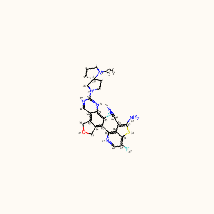 CN1CCC[C@@]12CCN(c1ncc3c4c(c(-c5ncc(F)c6sc(N)c(C#N)c56)c(F)c3n1)COC4)C2